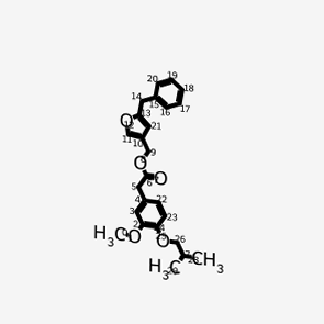 COc1cc(CC(=O)OCc2coc(Cc3ccccc3)c2)ccc1OCC(C)C